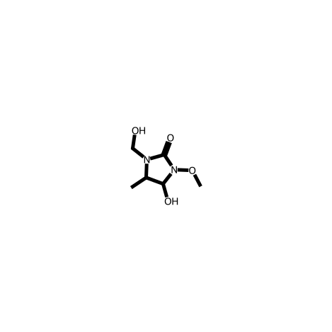 CON1C(=O)N(CO)C(C)C1O